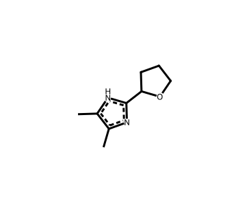 Cc1nc(C2CCCO2)[nH]c1C